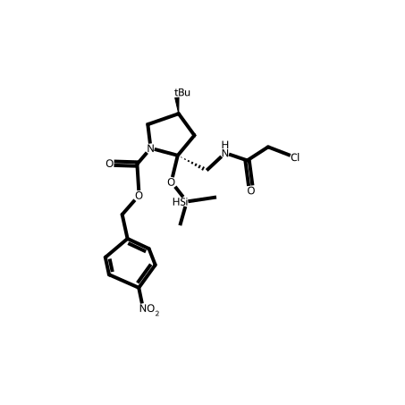 C[SiH](C)O[C@]1(CNC(=O)CCl)C[C@H](C(C)(C)C)CN1C(=O)OCc1ccc([N+](=O)[O-])cc1